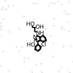 OCC(O)CNc1nnc(-c2c(O)cccc2Cl)c2ccccc12